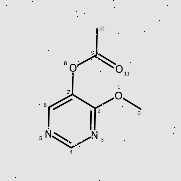 COc1ncncc1OC(C)=O